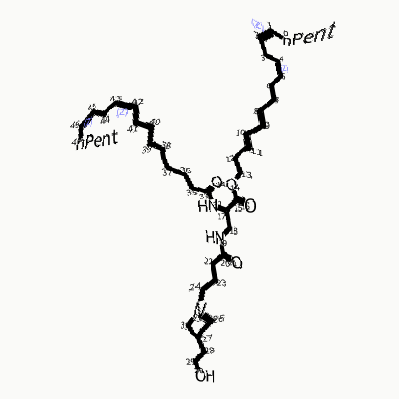 CCCCC/C=C\C/C=C\CCCCCCCCOC(=O)C(CNC(=O)CCCN1CC(CCO)C1)NC(=O)CCCCCCC/C=C\C/C=C\CCCCC